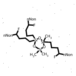 CCCCCCCCCC(F)CCC[Si]1(C)O[Si](C)(C)O[Si](CCCC(F)CCCCCCCCC)(CCCC(F)CCCCCCCCC)O1